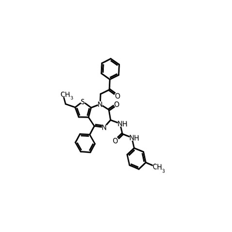 CCc1cc2c(s1)N(CC(=O)c1ccccc1)C(=O)C(NC(=O)Nc1cccc(C)c1)N=C2c1ccccc1